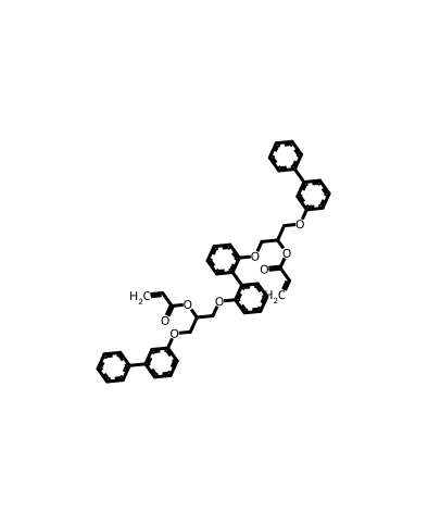 C=CC(=O)OC(COc1cccc(-c2ccccc2)c1)COc1ccccc1-c1ccccc1OCC(COc1cccc(-c2ccccc2)c1)OC(=O)C=C